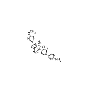 COc1ccc(-c2nc(C(C)(c3ccc(-c4cnc(N)nc4)cc3)C(C)C)no2)cn1